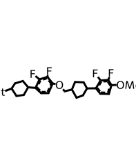 CCC1CCC(c2ccc(OCC3CCC(c4ccc(OC)c(F)c4F)CC3)c(F)c2F)CC1